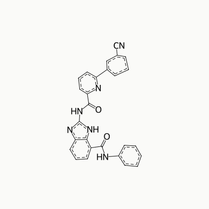 N#Cc1cccc(-c2cccc(C(=O)Nc3nc4cccc(C(=O)Nc5ccccc5)c4[nH]3)n2)c1